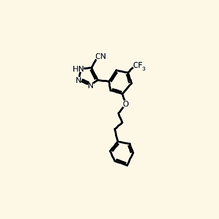 N#Cc1[nH]nnc1-c1cc(OCCCc2ccccc2)cc(C(F)(F)F)c1